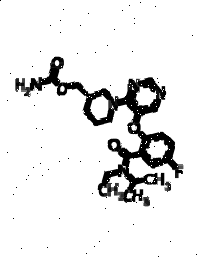 CCN(C(=O)c1cc(F)ccc1Oc1cncnc1N1CCC[C@@H](COC(N)=O)C1)C(C)C